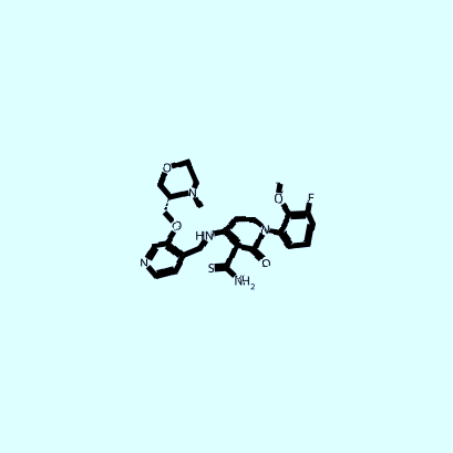 COc1c(F)cccc1N1CCC(NCc2ccncc2OC[C@@H]2COCCN2C)=C(C(N)=S)C1=O